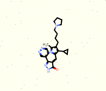 Cc1[nH]c(/C=C2/C(=O)NN=C2c2ccnnc2)c(C2CC2)c1CCCCN1CCCC1